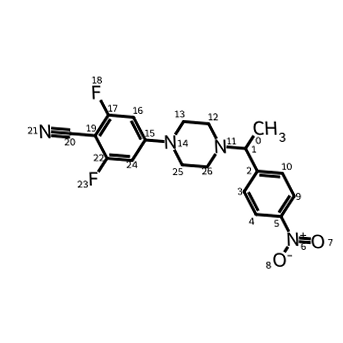 CC(c1ccc([N+](=O)[O-])cc1)N1CCN(c2cc(F)c(C#N)c(F)c2)CC1